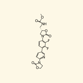 COC(=O)NC[C@H]1CN(c2ccc(-c3ccc(N4CCOC4=O)nc3)c(F)c2F)C(=O)O1